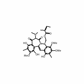 C/C=C(/C)C(=O)OC[C@H]1c2c(c(O)c(C)c(OC)c2OC)C=C2c3c(O)c(OC)c(C)c(O)c3C(=O)C(N(C)C)C(=O)N21